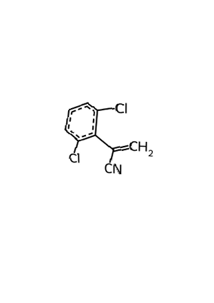 C=C(C#N)c1c(Cl)cccc1Cl